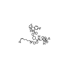 CN(CCCC/C=C\C1CC1)C(=O)[C@@H]1C[C@H](OC(=O)Nc2cc(F)ccc2C2=NCCS2)C[C@H]1C(=O)NCC(=O)NS(=O)(=O)C1CC1